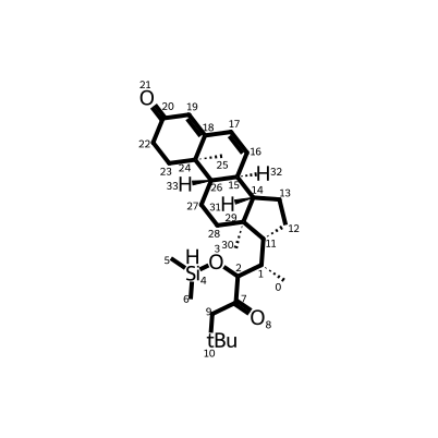 C[C@H](C(O[SiH](C)C)C(=O)CC(C)(C)C)[C@H]1CC[C@H]2[C@@H]3C=CC4=CC(=O)CC[C@]4(C)[C@H]3CC[C@]12C